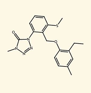 CCc1cc(C)ccc1OCc1c(SC)cccc1-n1nnn(C)c1=O